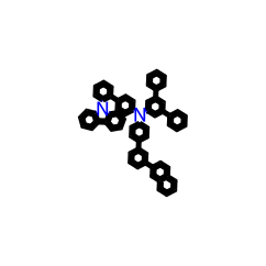 c1ccc(-c2cc(-c3ccccc3)cc(N(c3ccc(-c4cccc(-c5ccc6ccccc6c5)c4)cc3)c3ccc(-c4ccccc4-n4c5ccccc5c5ccccc54)cc3)c2)cc1